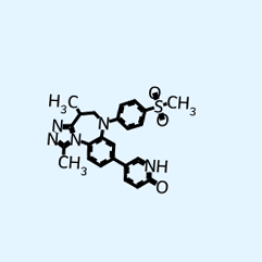 Cc1nnc2n1-c1ccc(-c3ccc(=O)[nH]c3)cc1N(c1ccc(S(C)(=O)=O)cc1)CC2C